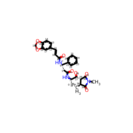 CC(C)[C@H](NC(=O)C[C@H](NC(=O)C=Cc1ccc2c(c1)OCO2)c1ccccc1)C(=O)[C@@H]1C(=O)N(C)C(=O)[C@H]1C